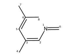 C=N/C=C(/C)C=C(C)C